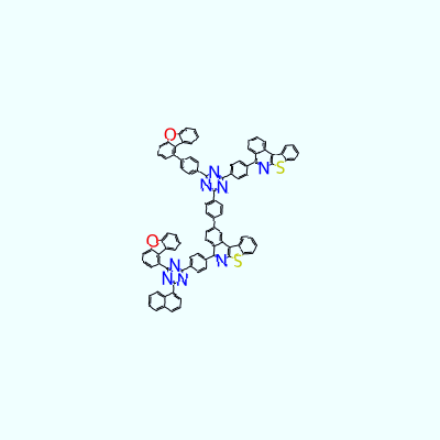 c1ccc2c(-c3nc(-c4ccc(-c5nc6sc7ccccc7c6c6cc(-c7ccc(-c8nc(-c9ccc(-c%10nc%11sc%12ccccc%12c%11c%11ccccc%10%11)cc9)nc(-c9ccc(-c%10cccc%11oc%12ccccc%12c%10%11)cc9)n8)cc7)ccc56)cc4)nc(-c4cccc5oc6ccccc6c45)n3)cccc2c1